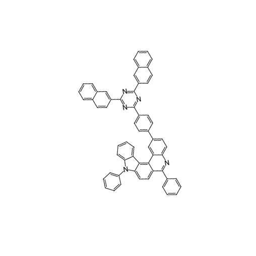 c1ccc(-c2nc3ccc(-c4ccc(-c5nc(-c6ccc7ccccc7c6)nc(-c6ccc7ccccc7c6)n5)cc4)cc3c3c2ccc2c3c3ccccc3n2-c2ccccc2)cc1